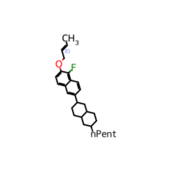 C/C=C/COc1ccc2cc(C3CCC4CC(CCCCC)CCC4C3)ccc2c1F